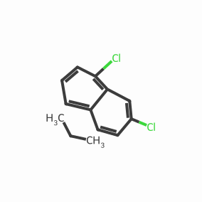 CCC.Clc1ccc2cccc(Cl)c2c1